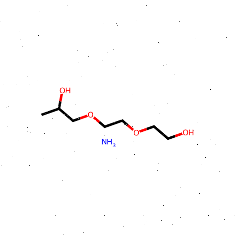 CC(O)COCCOCCO.N